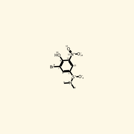 CN(C)[S+]([O-])c1cc(Br)c(O)c([N+](=O)[O-])c1